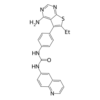 CCc1sc2ncnc(N)c2c1-c1ccc(NC(=O)Nc2ccc3ncccc3c2)cc1